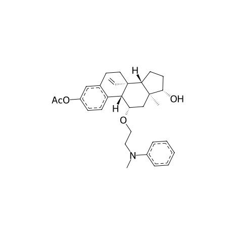 C=C[C@@]12CCc3cc(OC(C)=O)ccc3[C@H]1[C@@H](OCCN(C)c1ccccc1)C[C@@]1(C)[C@H]2CC[C@@H]1O